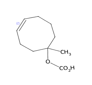 CC1(OC(=O)O)CC/C=C\CCC1